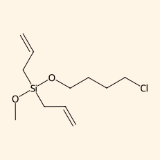 C=CC[Si](CC=C)(OC)OCCCCCl